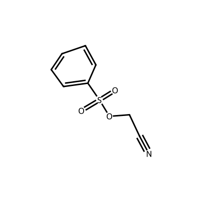 N#CCOS(=O)(=O)c1ccccc1